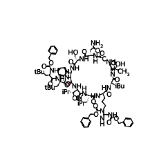 CC[C@H](C)[C@@H]1NC(=O)[C@@H](CCCN(C(=N)NC(=O)OCc2ccccc2)C(=O)OCc2ccccc2)NC(=O)[C@H](CC(C)C)NC(=O)[C@H]([C@H](O)C(C)C)NC(=O)[C@@H](NC(=O)[C@@H](CC(C)(C)C)NC(=O)[C@@H](CC(C)(C)C)NC(=O)OCc2ccccc2)[C@@H](c2ccccc2)NC(=O)[C@H](CO)NC(=O)[C@H](CC(N)=O)NC(=O)CNC(=O)[C@H]([C@H](C)O)NC1=O